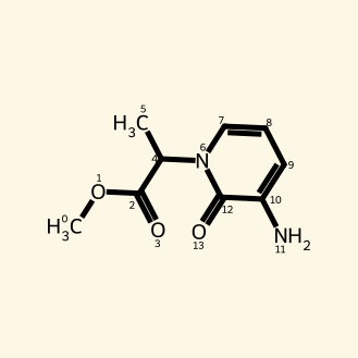 COC(=O)C(C)n1cccc(N)c1=O